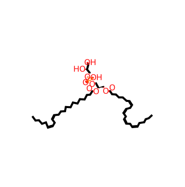 CCCCC/C=C\C/C=C\C/C=C\C/C=C\CCCCCC(=O)OC[C@H](COP(=O)(O)OC[C@@H](O)CO)OC(=O)CCCCCCCCCCC/C=C\C/C=C\CCCCC